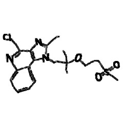 Cc1nc2c(Cl)nc3ccccc3c2n1CC(C)(C)OCCS(C)(=O)=O